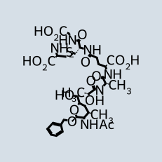 CC(=O)NC1[C@@H](OCc2ccccc2)OC(CO)[C@@H](O[C@H](C)C(=O)N[C@@H](C)C(=O)N[C@H](CCC(=O)N[C@H](CSC[C@H](N)C(=O)O)C(=O)NCC(=O)O)C(=O)O)[C@@H]1C